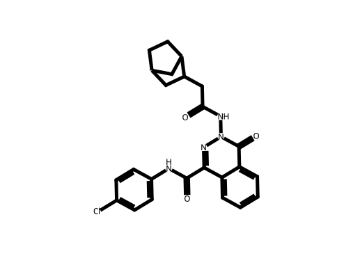 O=C(CC1CC2CCC1C2)Nn1nc(C(=O)Nc2ccc(Cl)cc2)c2ccccc2c1=O